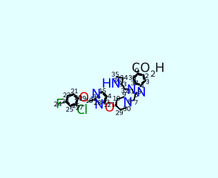 O=C(O)c1ccc2nc(CN3CCC(Oc4ccnc(COc5ccc(F)cc5Cl)n4)CC3)n(CC3CCN3)c2c1